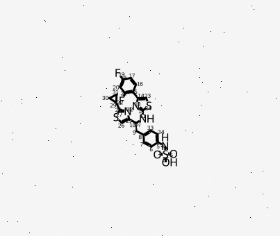 O=S(=O)(O)Nc1ccc(C[C@H](Nc2nc(-c3ccc(F)cc3F)cs2)c2csc(C3CC3)n2)cc1